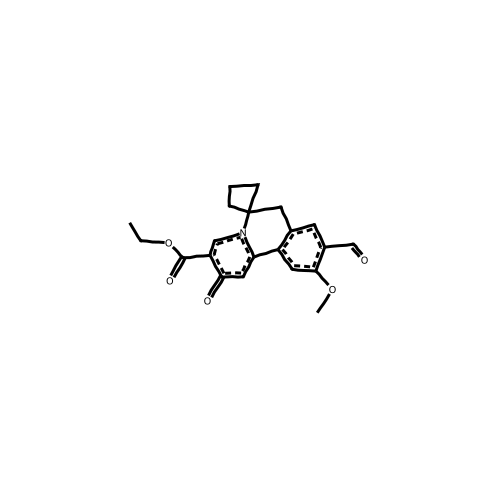 CCOC(=O)c1cn2c(cc1=O)-c1cc(OC)c(C=O)cc1CC21CCC1